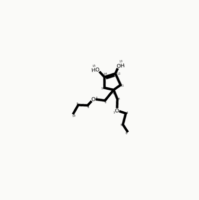 CCCOCC1(COCCC)CC(O)=C(O)C1